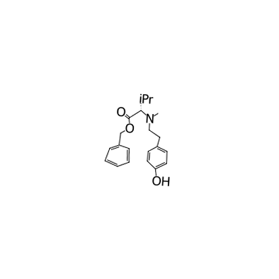 CC(C)[C@@H](C(=O)OCc1ccccc1)N(C)CCc1ccc(O)cc1